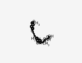 C[C@H](CCC(=O)NCCS(=O)(=O)O)[C@H]1CC[C@@H]2C3[C@@H](CC[C@@]21C)[C@@]1(C)CC[C@H](OCCCCCOc2ccc4c(c2)CCC2C4CC[C@@]4(C)C(=O)CCC24)CC1C[C@@H]3O